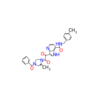 Cc1ccc(CNC(=O)c2ccnc3c(C(=O)C(=O)N4CCN(C(=O)c5ccccc5)C[C@H]4C)c[nH]c23)cc1